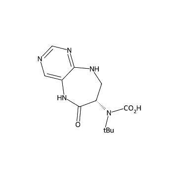 CC(C)(C)N(C(=O)O)[C@H]1CNc2ncncc2NC1=O